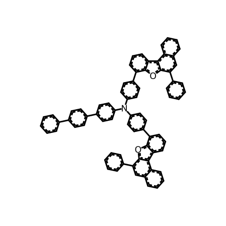 c1ccc(-c2ccc(-c3ccc(N(c4ccc(-c5cccc6c5oc5c(-c7ccccc7)cc7ccccc7c56)cc4)c4ccc(-c5cccc6c5oc5c(-c7ccccc7)cc7ccccc7c56)cc4)cc3)cc2)cc1